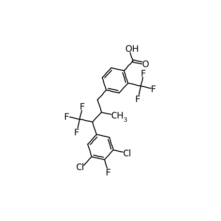 CC(Cc1ccc(C(=O)O)c(C(F)(F)F)c1)C(c1cc(Cl)c(F)c(Cl)c1)C(F)(F)F